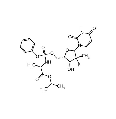 CC(C)OC(=O)[C@@H](C)NP(=O)(OC[C@@H]1O[C@@H](n2ccc(=O)[nH]c2=O)[C@](C)(F)[C@@H]1O)Oc1ccccc1